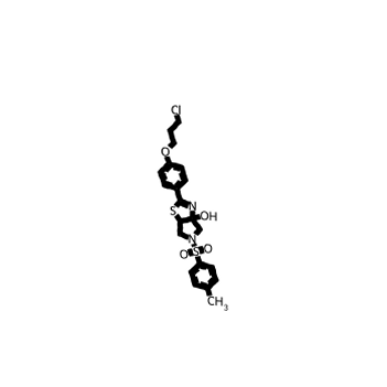 Cc1ccc(S(=O)(=O)N2CC3SC(c4ccc(OCCCCl)cc4)=NC3(O)C2)cc1